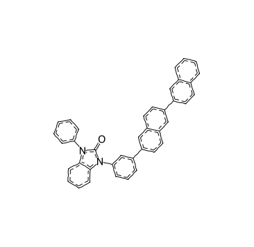 O=c1n(-c2ccccc2)c2ccccc2n1-c1cccc(-c2ccc3cc(-c4ccc5ccccc5c4)ccc3c2)c1